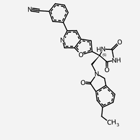 CCc1ccc2c(c1)C(=O)N(C[C@@]1(c3cc4cc(-c5cccc(C#N)c5)ncc4o3)NC(=O)NC1=O)C2